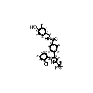 Cc1cc(CNC(=O)c2ccc(-c3cc(C(F)(F)F)nn3-c3ccccc3Cl)cc2)ccc1O